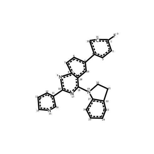 Fc1ccc(-c2ccc3nc(-c4cccnc4)nc(N4CCc5ccccc54)c3c2)cc1